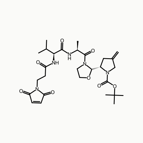 C=C1C[C@@H](C2OCCN2C(=O)[C@H](C)NC(=O)[C@@H](NC(=O)CCN2C(=O)C=CC2=O)C(C)C)N(C(=O)OC(C)(C)C)C1